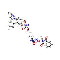 Cc1ccc(-c2cc(C(F)(F)F)nn2-c2ccc(S(=O)(=O)NC(=O)OCCCCN(C)/[N+]([O-])=N/OC(C)N3C(=O)c4ccccc4C3=O)cc2)cc1